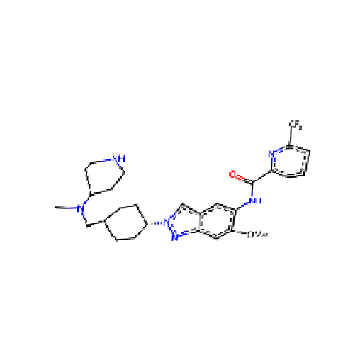 COc1cc2nn([C@H]3CC[C@H](CN(C)C4CCNCC4)CC3)cc2cc1NC(=O)c1cccc(C(F)(F)F)n1